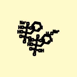 O.O=P([O-])(O)C(O)(Cc1cccnc1)P(=O)(O)O.O=P([O-])(O)C(O)(Cc1cccnc1)P(=O)(O)O.[Na+].[Na+]